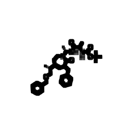 CC(NC(=O)OC(C)(C)C)C(=O)N[C@@H](C)N1CCC([C@@H](C)COCc2ccccc2)=CC(Cc2ccccc2)C1=O